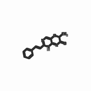 CC1OC2=CN=C(C=Cc3ccccc3)NC2=NC1=O